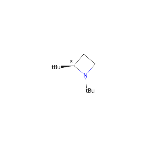 CC(C)(C)[C@H]1CCN1C(C)(C)C